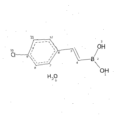 O.OB(O)/C=C/c1ccc(Cl)cc1